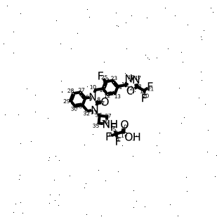 O=C(O)C(F)(F)F.O=C1N(Cc2ccc(-c3nnc(C(F)F)o3)cc2F)c2ccccc2CN1C1CNC1